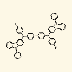 Fc1ccc(N(C2=CC=C3C(C2)c2ccccc2N3c2ccccc2)c2ccc(-c3ccc(N(c4ccc(F)cc4)c4ccc5c(c4)c4ccccc4n5-c4ccccc4)cc3)cc2)cc1